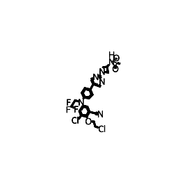 CS(=O)(=O)NC1CN(c2ncc(-c3ccc(N(CC(F)(F)F)c4cc(Cl)c(OCCCl)c(C#N)c4)cc3)cn2)C1